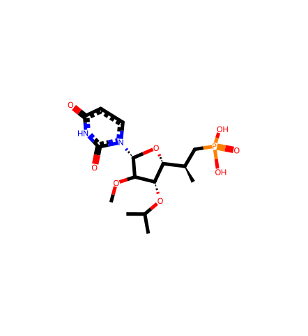 COC1[C@@H](OC(C)C)[C@@H]([C@H](C)CP(=O)(O)O)O[C@H]1n1ccc(=O)[nH]c1=O